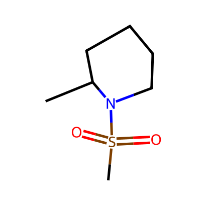 CC1CCCCN1S(C)(=O)=O